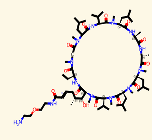 CC[C@@H]1NC(=O)[C@H]([C@H](O)[C@H](C)C/C=C/C(=O)NCCOCCN)N(C)C(=O)[C@H](C(C)C)N(C)C(=O)[C@H](CC(C)C)N(C)C(=O)[C@H](CC(C)C)N(C)C(=O)[C@@H](C)NC(=O)[C@H](C)NC(=O)[C@H](CC(C)C)N(C)C(=O)C(C(C)C)NC(=O)C(CC(C)C)N(C)C(=O)CN(C)C1=O